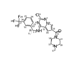 C[C@@H](Nc1nc(Cl)nn2cc(C(=O)N3CCN(C)CC3)cc12)c1cccc(C(F)(F)F)c1